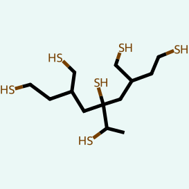 CC(S)C(S)(CC(CS)CCS)CC(CS)CCS